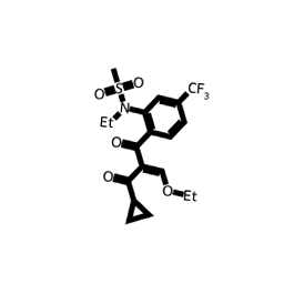 CCOC=C(C(=O)c1ccc(C(F)(F)F)cc1N(CC)S(C)(=O)=O)C(=O)C1CC1